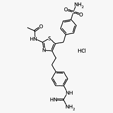 CC(=O)Nc1nc(CCc2ccc(NC(=N)N)cc2)c(Cc2ccc(S(N)(=O)=O)cc2)s1.Cl